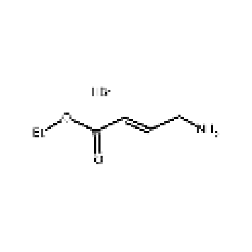 Br.CCOC(=O)/C=C/CN